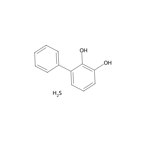 Oc1cccc(-c2ccccc2)c1O.S